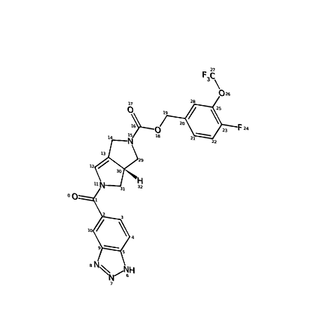 O=C(c1ccc2[nH]nnc2c1)N1C=C2CN(C(=O)OCc3ccc(F)c(OC(F)(F)F)c3)C[C@@H]2C1